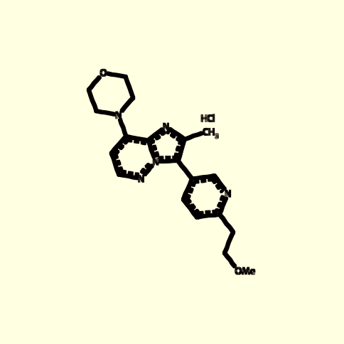 COCCc1ccc(-c2c(C)nc3c(N4CCOCC4)ccnn23)cn1.Cl